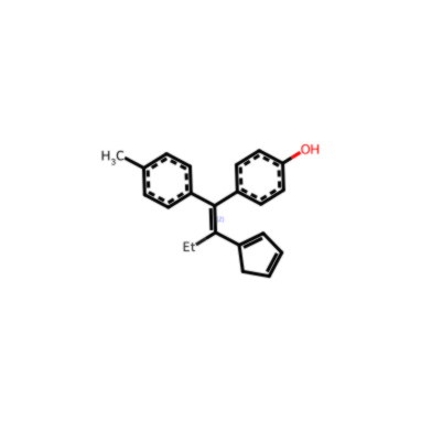 CC/C(C1=CC=CC1)=C(\c1ccc(C)cc1)c1ccc(O)cc1